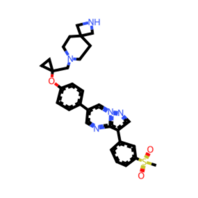 CS(=O)(=O)c1cccc(-c2cnn3cc(-c4ccc(OC5(CN6CCC7(CC6)CNC7)CC5)cc4)cnc23)c1